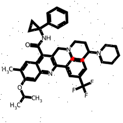 Cc1cc2c(C(=O)NC3(c4ccccc4)CC3)c(CN3CCC(N4CCCCC4)CC3)c(-c3cccc(C(F)(F)F)c3)nc2cc1OC(C)C